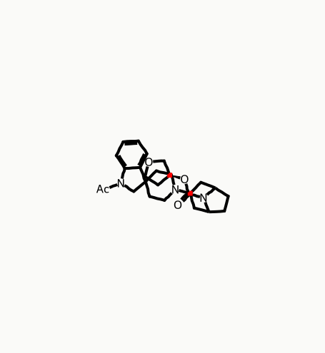 CC(=O)N1CC2(CCN(C3CC4CCC(C3)N4C(=O)O[C@H]3CCOC3)CC2)c2ccccc21